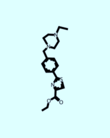 CCOC(=O)c1csc(-c2ccc(CN3CCN(CC)CC3)cc2)n1